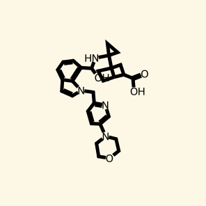 O=C(O)C1CC2(C3(NC(O)c4cccc5ccn(Cc6ccc(N7CCOCC7)cn6)c45)CC3)CCC12